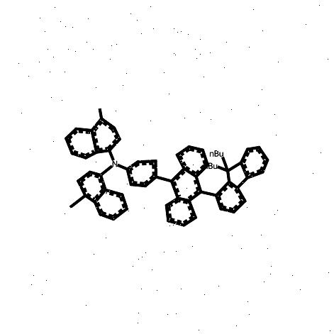 CCCCC1(CCCC)c2ccccc2-c2cccc(-c3c4ccccc4c(-c4ccc(N(c5ccc(C)c6ccccc56)c5ccc(C)c6ccccc56)cc4)c4ccccc34)c21